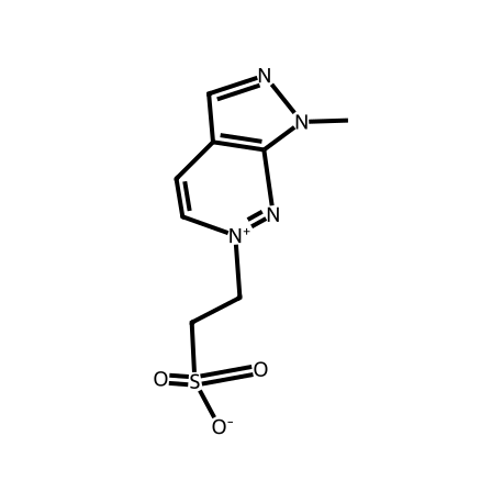 Cn1ncc2cc[n+](CCS(=O)(=O)[O-])nc21